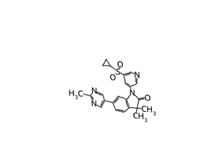 Cc1ncc(-c2ccc3c(c2)N(c2cncc(S(=O)(=O)C4CC4)c2)C(=O)C3(C)C)cn1